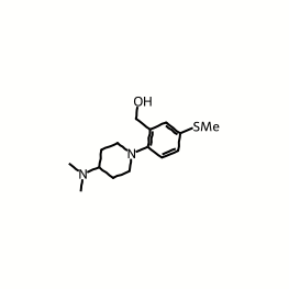 CSc1ccc(N2CCC(N(C)C)CC2)c(CO)c1